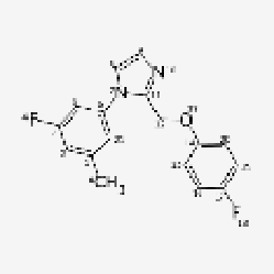 Cc1cc(F)cc(-n2ccnc2COc2ccc(F)cc2)c1